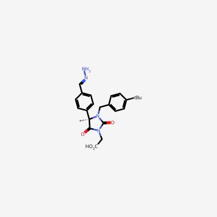 CC(C)(C)c1ccc(CN2C(=O)N(CC(=O)O)C(=O)[C@@]2(C)c2ccc(C=NN)cc2)cc1